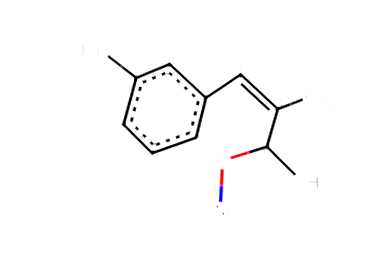 CC(ON)C(=Cc1cccc(C(F)(F)F)c1)C(=O)O